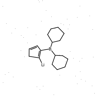 [Li][C]1=C(B(C2CCCCC2)C2CCCCC2)C=CC1